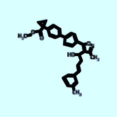 CCOC(=O)C1(c2ccc(-c3ccc(-c4onc(C)c4C(O)CC=Cc4cccc(C)c4)cc3)cc2)CC1